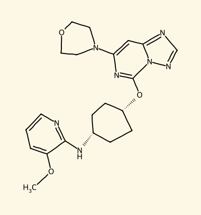 COc1cccnc1N[C@H]1CC[C@@H](Oc2nc(N3CCOCC3)cc3ncnn23)CC1